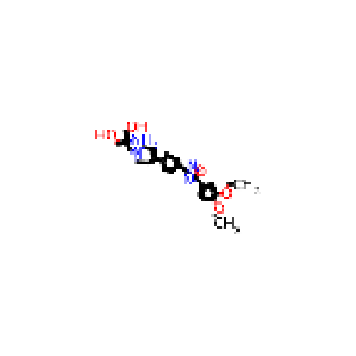 CCOc1ccc(-c2nc(-c3ccc(C4=CCN(CC(N)(CO)CO)CC4)cc3)no2)cc1OCC